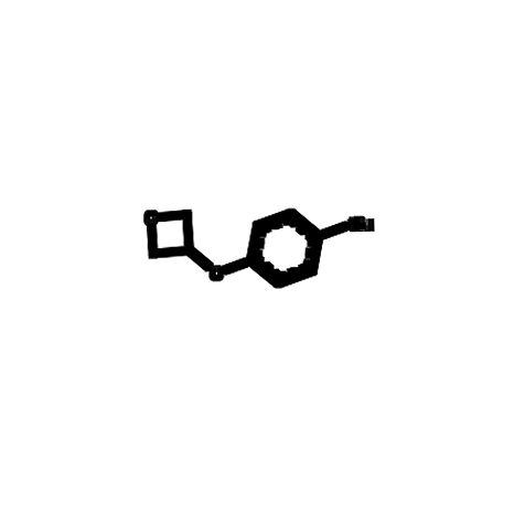 CC(C)(C)c1ccc(OC2COC2)cc1